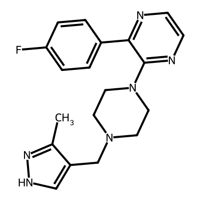 Cc1n[nH]cc1CN1CCN(c2nccnc2-c2ccc(F)cc2)CC1